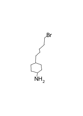 NC1CCC(CCCCCBr)CC1